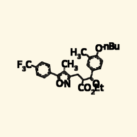 CCCCOc1ccc(C(=O)C(Cc2noc(-c3ccc(C(F)(F)F)cc3)c2C)C(=O)OCC)cc1C